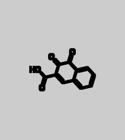 O=C(O)C1=Cc2ccccc2C(=O)C1=O